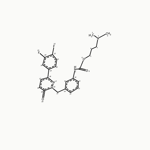 CN(C)CCCOC(=O)Nc1cccc(Cn2nc(-c3ccc(F)c(F)c3)ccc2=O)c1